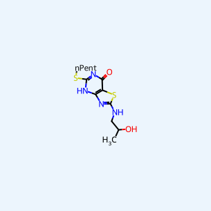 CCCCCSc1nc(=O)c2sc(NCC(C)O)nc2[nH]1